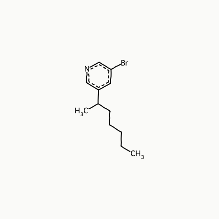 CCCCCC(C)c1cncc(Br)c1